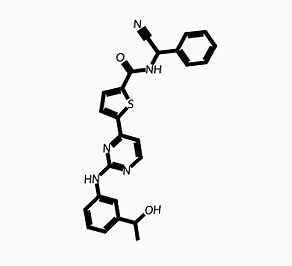 CC(O)c1cccc(Nc2nccc(-c3ccc(C(=O)NC(C#N)c4ccccc4)s3)n2)c1